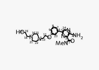 CNC(=O)c1nc(-c2cccc(OCCN3CCN(CCO)CC3)c2)cnc1N